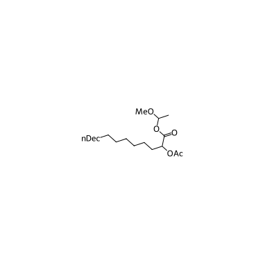 CCCCCCCCCCCCCCCCC(OC(C)=O)C(=O)OC(C)OC